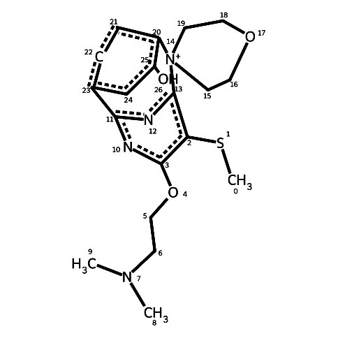 CSc1c(OCCN(C)C)nc2nc1[N+]1(CCOCC1)c1ccc-2cc1O